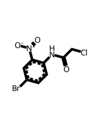 O=C(CCl)Nc1ccc(Br)cc1[N+](=O)[O-]